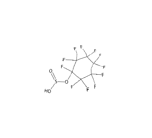 O=S(O)OC1(F)C(F)(F)C(F)(F)C(F)(F)C(F)(F)C1(F)F